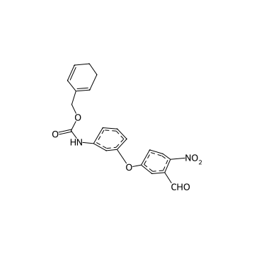 O=Cc1cc(Oc2cccc(NC(=O)OCC3=CCCC=C3)c2)ccc1[N+](=O)[O-]